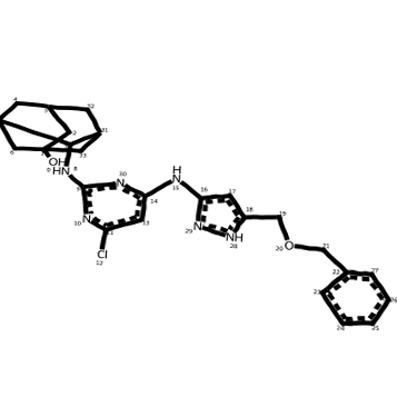 OC12CC3CC(C1)C(Nc1nc(Cl)cc(Nc4cc(COCc5ccccc5)[nH]n4)n1)C(C3)C2